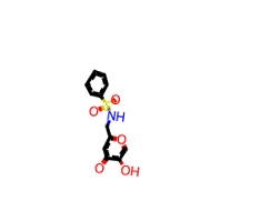 O=c1cc(CNS(=O)(=O)c2ccccc2)occ1O